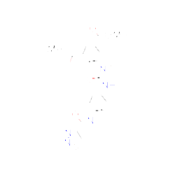 COC(=O)c1cc(C(=O)OC)cc(N(S)C(=O)Nc2ccc(NC(=O)c3csnn3)cc2)c1